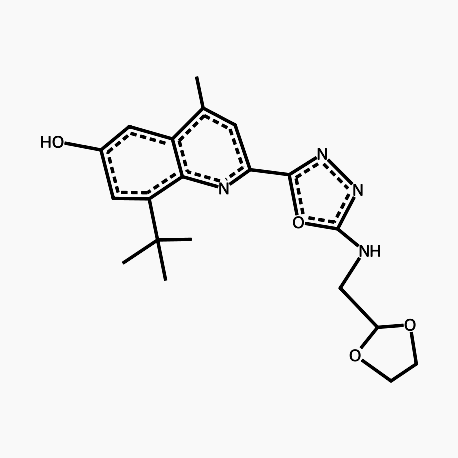 Cc1cc(-c2nnc(NCC3OCCO3)o2)nc2c(C(C)(C)C)cc(O)cc12